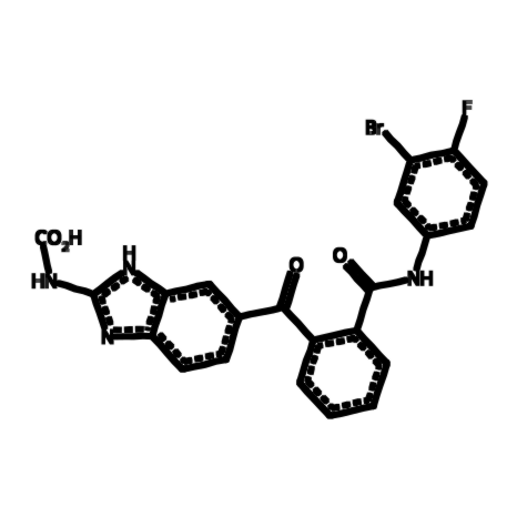 O=C(O)Nc1nc2ccc(C(=O)c3ccccc3C(=O)Nc3ccc(F)c(Br)c3)cc2[nH]1